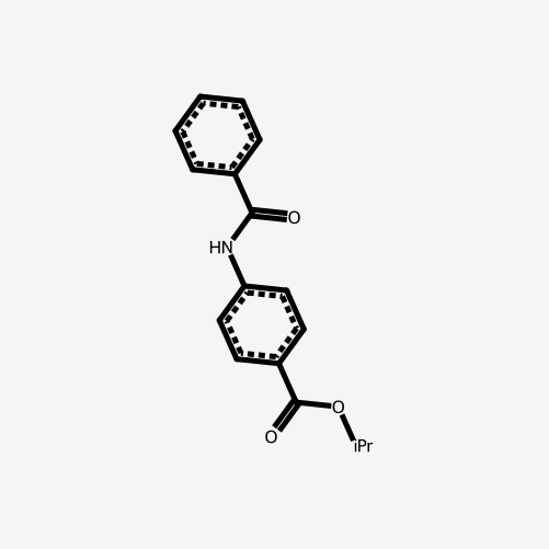 CC(C)OC(=O)c1ccc(NC(=O)c2ccccc2)cc1